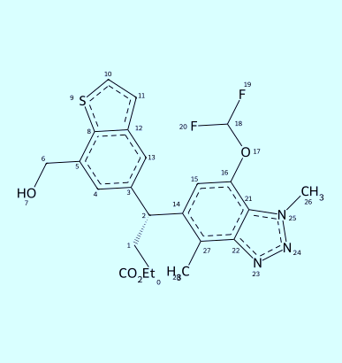 CCOC(=O)C[C@H](c1cc(CO)c2sccc2c1)c1cc(OC(F)F)c2c(nnn2C)c1C